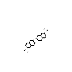 O=c1c2ccc([N+](=O)[O-])cc2c(=O)c2sc3c(=O)c4ccc([N+](=O)[O-])cc4c(=O)c3sc12